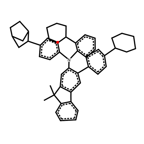 CC1(C)c2ccccc2-c2cc(-c3ccc(C4CCCCC4)cc3)c(N(c3ccc(C4CC5CCC4C5)cc3)c3ccccc3C3CCCCC3)cc21